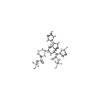 Cc1cc(N(C(=O)OC(C)(C)C)c2cc(C3CCCN(C(=O)OC(C)(C)C)C3)nc3c(-c4cnn(C)c4)cnn23)sn1